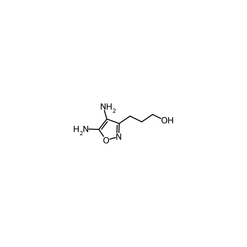 Nc1onc(CCCO)c1N